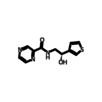 O=C(NC[C@@H](O)c1ccsc1)c1cnccn1